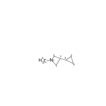 CN1CC(C2CC2)C1